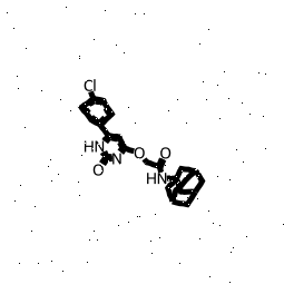 O=C(COc1cc(-c2ccc(Cl)cc2)[nH]c(=O)n1)NC12CC3CC(CC(C3)C1)C2